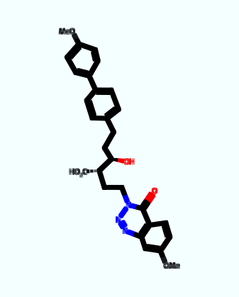 COc1ccc(-c2ccc(CC[C@@H](O)[C@H](CCn3nnc4cc(OC)ccc4c3=O)C(=O)O)cc2)cc1